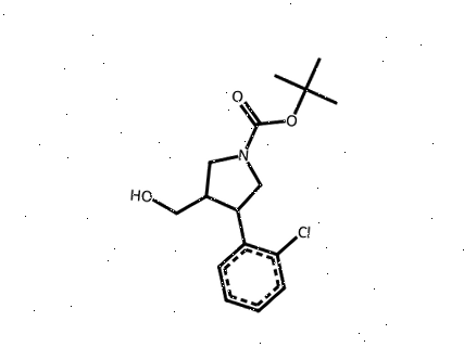 CC(C)(C)OC(=O)N1CC(CO)C(c2ccccc2Cl)C1